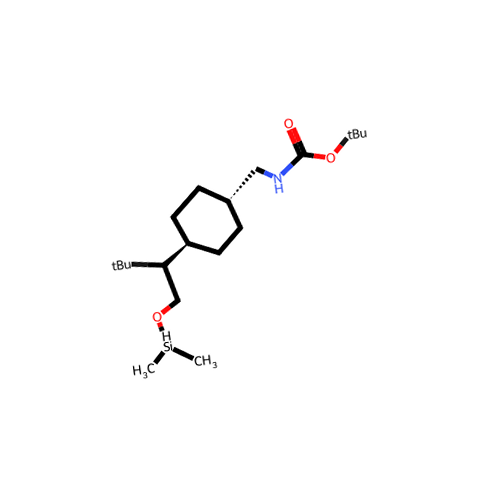 C[SiH](C)OCC([C@H]1CC[C@H](CNC(=O)OC(C)(C)C)CC1)C(C)(C)C